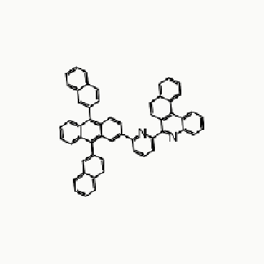 c1cc(-c2ccc3c(-c4ccc5ccccc5c4)c4ccccc4c(-c4ccc5ccccc5c4)c3c2)nc(-c2nc3ccccc3c3c2ccc2ccccc23)c1